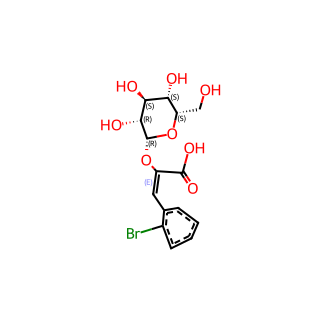 O=C(O)/C(=C\c1ccccc1Br)O[C@H]1O[C@@H](CO)[C@@H](O)[C@H](O)[C@H]1O